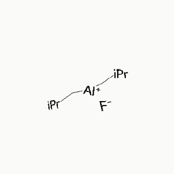 C[CH](C)[Al+][CH](C)C.[F-]